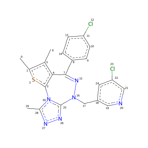 Cc1sc2c(c1C)C(c1ccc(Cl)cc1)=NN(Cc1cncc(Cl)c1)c1nnc(C)n1-2